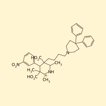 CC1N[C@H](C)C(C)(C(=O)O)C(c2cccc([N+](=O)[O-])c2)C1(CCCCN1CCC(c2ccccc2)(c2ccccc2)CC1)C(=O)O